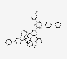 C=C/C(=C\C=C/C)c1nc(-c2ccc(-c3ccccc3)cc2)nc(-c2cc(-c3cccc4oc5ccc(-n6c7ccccc7c7cc(-c8ccccc8)ccc76)cc5c34)c3c(c2)oc2ccccc23)n1